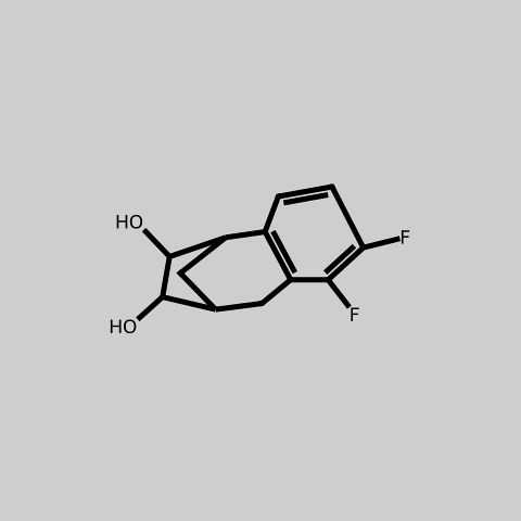 OC1C2Cc3c(ccc(F)c3F)C(C2)C1O